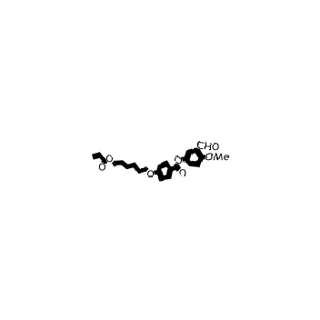 C=CC(=O)OCCCCCCOc1ccc(C(=O)Oc2ccc(OC)c(C=O)c2)cc1